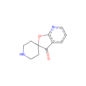 O=C1c2cccnc2OC12CCNCC2